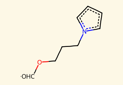 O=[C]OCCCn1cccc1